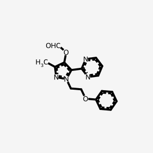 Cc1nn(CCOc2ccccc2)c(-c2ncccn2)c1OC=O